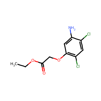 CCOC(=O)COc1cc(N)c(Cl)cc1Cl